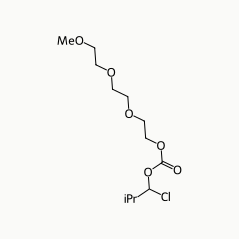 COCCOCCOCCOC(=O)OC(Cl)C(C)C